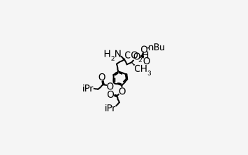 CCCCOC(=O)O[C@@H](C)CC(N)(Cc1ccc(OC(=O)CC(C)C)c(OC(=O)CC(C)C)c1)C(=O)O